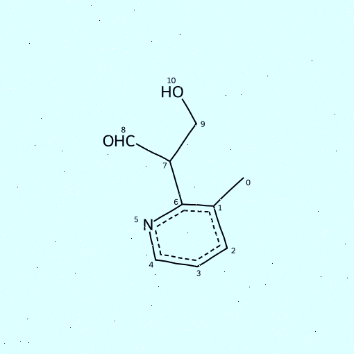 Cc1cccnc1C(C=O)CO